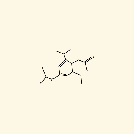 CCC1C=C(OC(F)F)C=C(C(C)C)C1CC(C)=O